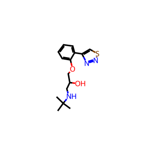 CC(C)(C)NCC(O)COc1ccccc1-c1csnn1